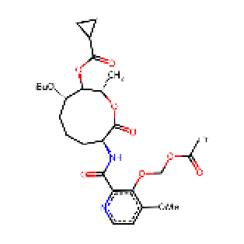 COc1ccnc(C(=O)N[C@H]2CCC[C@H](OCC(C)C)[C@@H](OC(=O)C3CC3)[C@H](C)OC2=O)c1OCOC(=O)C(C)C